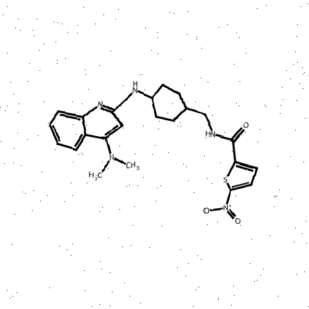 CN(C)c1cc(NC2CCC(CNC(=O)c3ccc([N+](=O)[O-])s3)CC2)nc2ccccc12